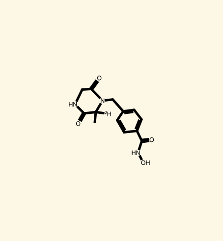 [2H]C1(C)C(=O)NCC(=O)N1Cc1ccc(C(=O)NO)cc1